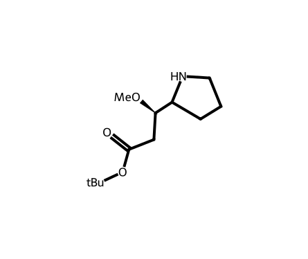 CO[C@H](CC(=O)OC(C)(C)C)C1CCCN1